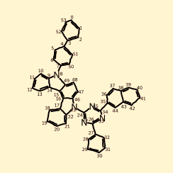 c1ccc(-c2ccc(-n3c4ccccc4c4c5c6ccccc6n(-c6nc(-c7ccccc7)nc(-c7ccc8ccccc8c7)n6)c5ccc43)cc2)cc1